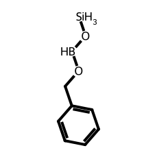 [SiH3]OBOCc1ccccc1